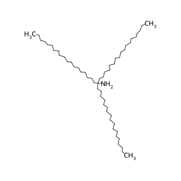 CCCCCCCCCCCCCCCCCCCC(N)(CCCCCCCCCCCCCCCCCC)CCCCCCCCCCCCCCCCCC